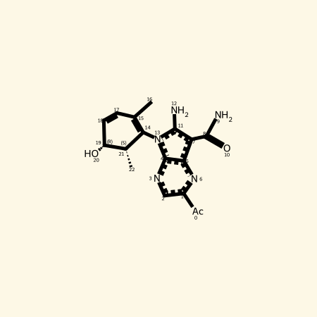 CC(=O)c1cnc2c(n1)c(C(N)=O)c(N)n2C1=C(C)C=C[C@@H](O)[C@H]1C